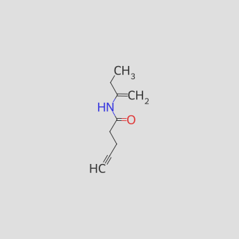 C#CCCC(=O)NC(=C)CC